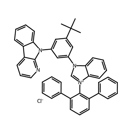 CC(C)(C)c1cc(-n2c[n+](-c3c(-c4ccccc4)cccc3-c3ccccc3)c3ccccc32)cc(-n2c3ccccc3c3cccnc32)c1.[Cl-]